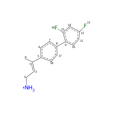 CC(=CCN)c1ccc(-c2ccc(F)cc2F)cc1